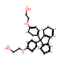 OCCOC1=CC=C(C2(c3ccc(OCCO)cc3)C3=C(C=CCC3)c3ccccc32)CC1